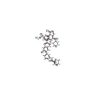 CCc1nc2c(cnn2CC)c(NC2CCOCC2)c1CN(Cc1ccc(F)c(-c2cccc(CNC3CN4CCC3CC4)c2)c1)C(=O)c1cccc(C(N)=O)c1